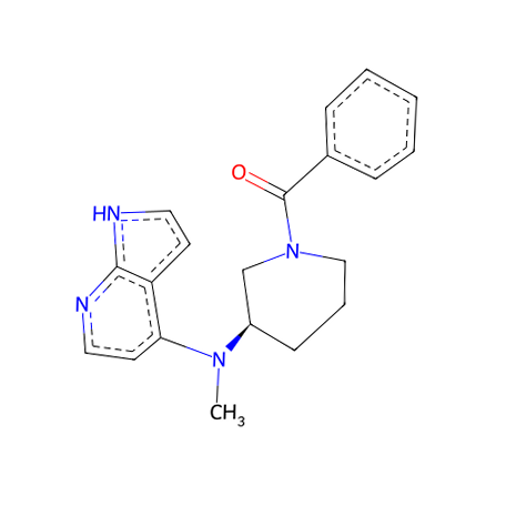 CN(c1ccnc2[nH]ccc12)[C@@H]1CCCN(C(=O)c2ccccc2)C1